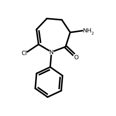 NC1CCC=C(Cl)N(c2ccccc2)C1=O